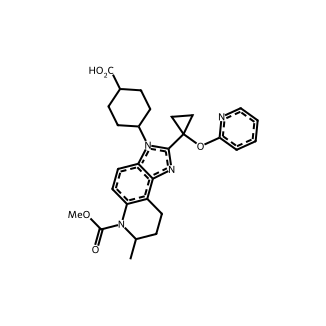 COC(=O)N1c2ccc3c(nc(C4(Oc5ccccn5)CC4)n3C3CCC(C(=O)O)CC3)c2CCC1C